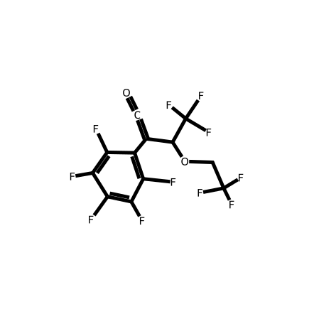 O=C=C(c1c(F)c(F)c(F)c(F)c1F)C(OCC(F)(F)F)C(F)(F)F